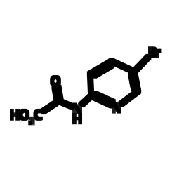 O=C(O)C(=O)Nc1ccc(Br)cn1